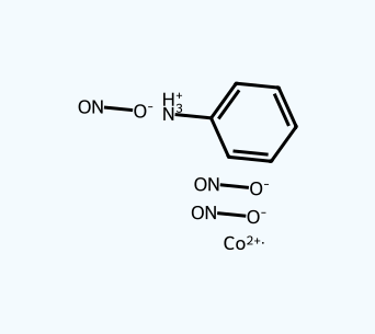 O=N[O-].O=N[O-].O=N[O-].[Co+2].[NH3+]c1ccccc1